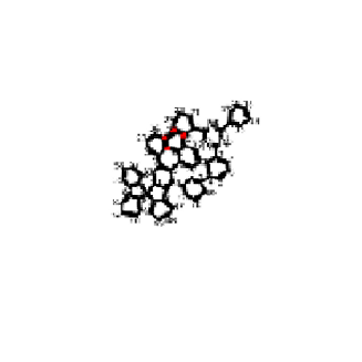 c1ccc(-c2cccc(-c3nc(-c4ccccc4)nc(-c4cccc(-c5cccc(-c6cc7c(cc6-c6cccc8ccccc68)-c6ccccc6C7(c6ccccc6)c6ccccc6)c5)c4)n3)c2)cc1